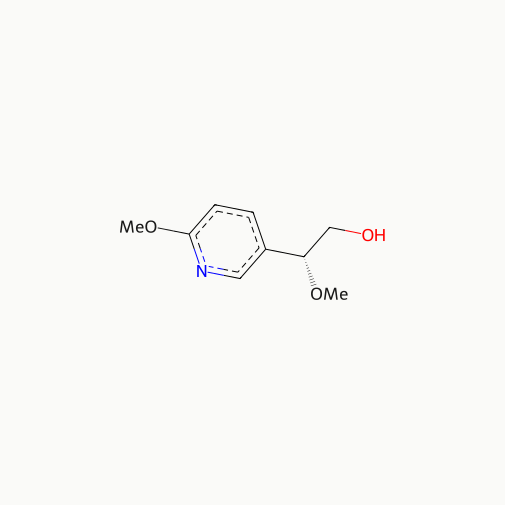 COc1ccc([C@H](CO)OC)cn1